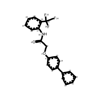 O=C(COc1ccc(-c2ccccc2)cc1)Nc1ccccc1C(F)(F)F